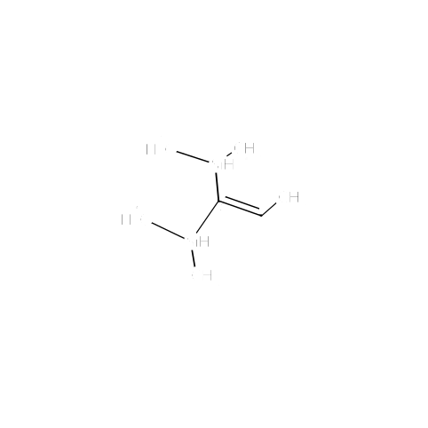 CC=C([SiH](C)C)[SiH](C)C